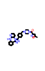 Cc1cc(C(=O)N2CCN(Cc3ccc(-c4nnc5n4-c4cccnc4Nc4ccccc4-5)cc3)CC2)no1